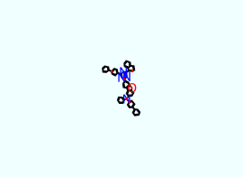 c1ccc(-c2ccc(-c3nc(-c4ccc5c(c4)oc4ccc(N(c6ccccc6)c6ccc(-c7ccccc7)cc6)cc45)nc(-c4cccc5ccccc45)n3)cc2)cc1